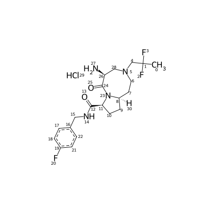 CC(F)(F)CN1CC[C@H]2CC[C@@H](C(=O)NCc3ccc(F)cc3)N2C(=O)[C@@H](N)C1.Cl